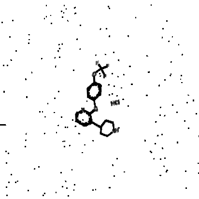 Cl.FC(F)(F)Oc1ccc(Oc2ncccc2C2CCNCC2)cc1